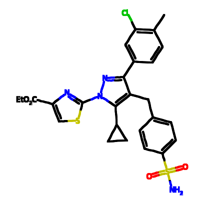 CCOC(=O)c1csc(-n2nc(-c3ccc(C)c(Cl)c3)c(Cc3ccc(S(N)(=O)=O)cc3)c2C2CC2)n1